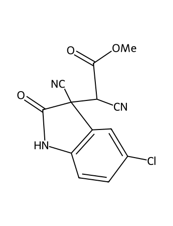 COC(=O)C(C#N)C1(C#N)C(=O)Nc2ccc(Cl)cc21